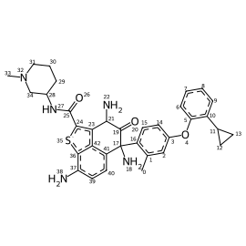 Cc1cc(Oc2ccccc2C2CC2)ccc1C1(N)C(=O)C(N)c2c(C(=O)NC3CCCN(C)C3)sc3c(N)ccc1c23